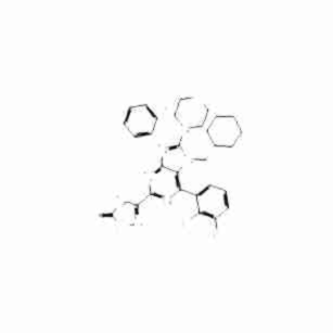 C[C@H]1CC[C@H](Cn2c(N3CCOC[C@H]3c3ccccc3)nc3nc(-c4noc(=O)[nH]4)nc(-c4cccc(Cl)c4F)c32)CC1